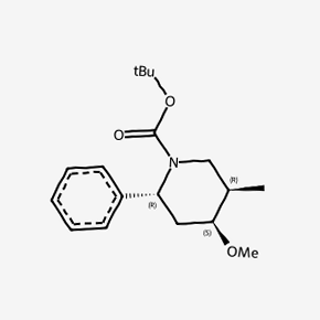 CO[C@H]1C[C@H](c2ccccc2)N(C(=O)OC(C)(C)C)C[C@H]1C